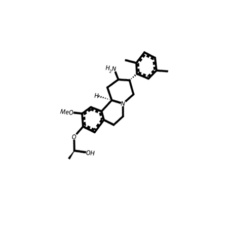 COc1cc2c(cc1O[C@H](C)O)CCN1C[C@@H](c3cc(C)ccc3C)C(N)C[C@H]21